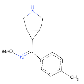 CON=C(c1ccc(C)cc1)C1C2CNCC21